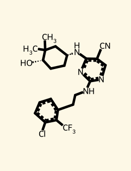 CC1(C)C[C@H](Nc2nc(NCCc3cccc(Cl)c3C(F)(F)F)ncc2C#N)CC[C@@H]1O